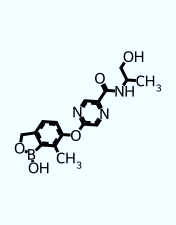 Cc1c(Oc2cnc(C(=O)NC(C)CO)cn2)ccc2c1B(O)OC2